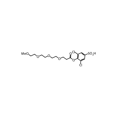 COCCOCCOCCOCCC(=O)Oc1c(Cl)cc(S(=O)(=O)O)cc1Cl